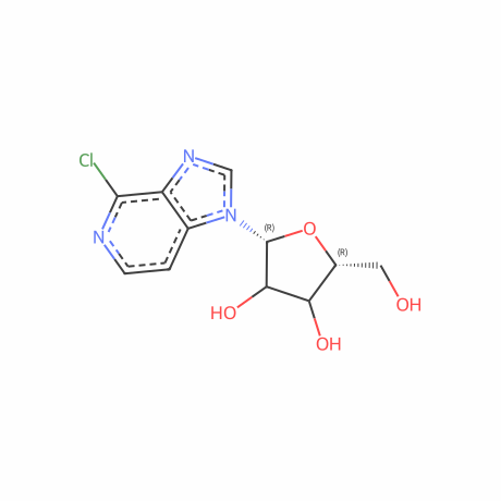 OC[C@H]1O[C@@H](n2cnc3c(Cl)nccc32)C(O)C1O